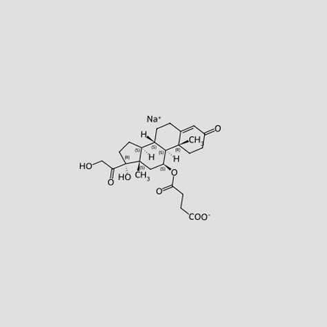 C[C@]12CCC(=O)C=C1CC[C@@H]1[C@@H]2[C@@H](OC(=O)CCC(=O)[O-])C[C@@]2(C)[C@H]1CC[C@]2(O)C(=O)CO.[Na+]